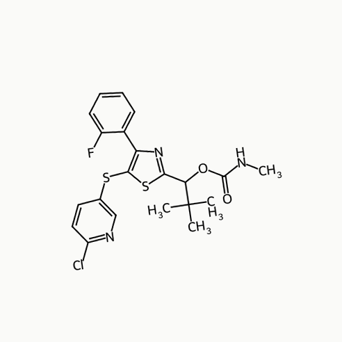 CNC(=O)OC(c1nc(-c2ccccc2F)c(Sc2ccc(Cl)nc2)s1)C(C)(C)C